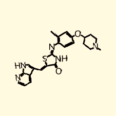 Cc1cc(OC2CCN(C)CC2)ccc1N=C1NC(=O)C(=Cc2c[nH]c3ncccc23)S1